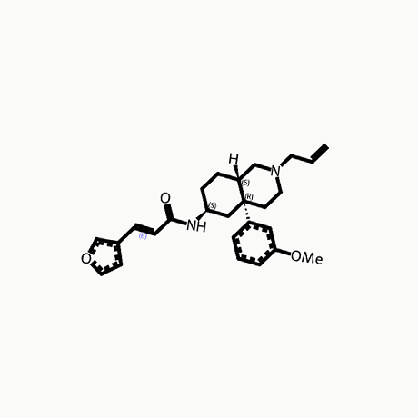 C=CCN1CC[C@@]2(c3cccc(OC)c3)C[C@@H](NC(=O)/C=C/c3ccoc3)CC[C@@H]2C1